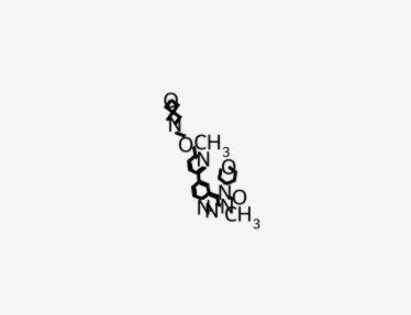 C[C@@H](OCCN1CC2(COC2)C1)c1ccc(-c2ccc3nnc4c(c3c2)n(C2CCOCC2)c(=O)n4C)cn1